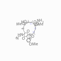 COc1ccc(C2=C3NC(=O)/C(C)=C/C=C\[C@@H](OC)[C@@H](OC(N)=O)/C(C)=C/[C@H](C)[C@@H](O)[C@@H](OC)C[C@H](C)CC(=C(NCCN(C)C)C2=O)C3=O)cc1